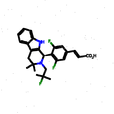 CC(C)(F)CN1[C@H](c2c(F)cc(C=CC(=O)O)cc2F)c2[nH]c3ccccc3c2CC1(C)C